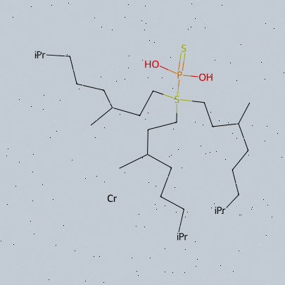 CC(C)CCCC(C)CCS(CCC(C)CCCC(C)C)(CCC(C)CCCC(C)C)P(O)(O)=S.[Cr]